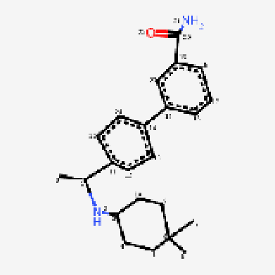 C[C@H](NC1CCC(C)(C)CC1)c1ccc(-c2cccc(C(N)=O)c2)cc1